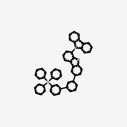 c1ccc([Si](c2ccccc2)(c2ccccc2)c2cccc(-c3cccc(-c4ccc5oc6c(-n7c8ccccc8c8ccccc87)cccc6c5c4)c3)c2)cc1